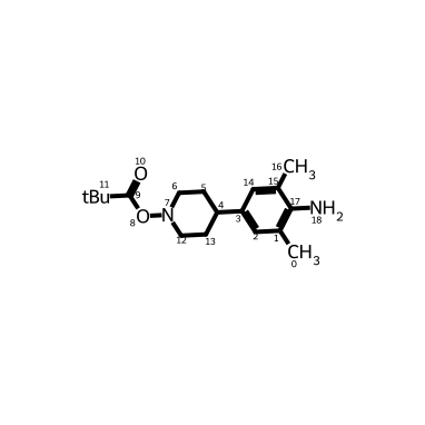 Cc1cc(C2CCN(OC(=O)C(C)(C)C)CC2)cc(C)c1N